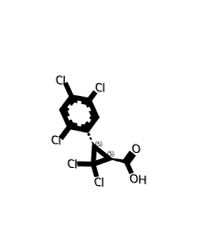 O=C(O)[C@@H]1[C@@H](c2cc(Cl)c(Cl)cc2Cl)C1(Cl)Cl